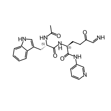 CC(=O)N[C@@H](Cc1c[nH]c2ccccc12)C(=O)N[C@@H](CCC(=O)C=N)C(=O)Nc1cccnc1